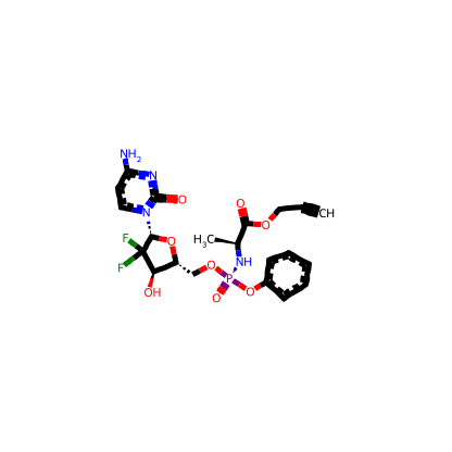 C#CCOC(=O)[C@H](C)N[P@](=O)(OC[C@H]1O[C@@H](n2ccc(N)nc2=O)C(F)(F)[C@@H]1O)Oc1ccccc1